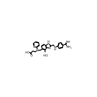 Cc1c(CN(CCC(=O)O)c2ccccn2)ccc2[nH]c(CNc3ccc(C(=N)N)cc3)nc12.Cl